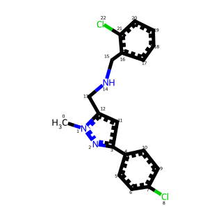 Cn1nc(-c2ccc(Cl)cc2)cc1CNCc1ccccc1Cl